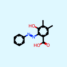 Cc1cc(C(=O)O)c(N=Nc2ccccc2)c(O)c1C